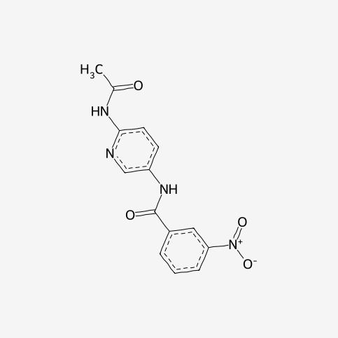 CC(=O)Nc1ccc(NC(=O)c2cccc([N+](=O)[O-])c2)cn1